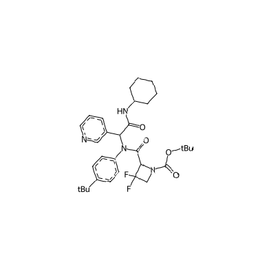 CC(C)(C)OC(=O)N1CC(F)(F)C1C(=O)N(c1ccc(C(C)(C)C)cc1)C(C(=O)NC1CCCCC1)c1cccnc1